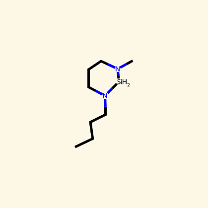 CCCCN1CCCN(C)[SiH2]1